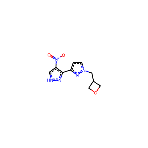 O=[N+]([O-])c1c[nH]nc1-c1ccn(CC2COC2)n1